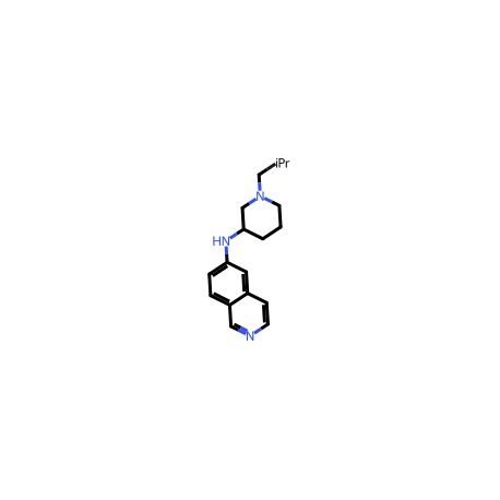 CC(C)CN1CCCC(Nc2ccc3cnccc3c2)C1